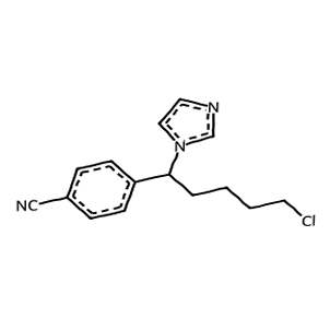 N#Cc1ccc(C(CCCCCl)n2ccnc2)cc1